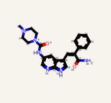 CN1CCN(C(=O)Nc2cnc3[nH]cc(C=C(C(N)=O)c4ccccc4)c3c2)CC1